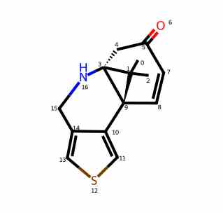 CC1(C)[C@@]23CC(=O)C=C[C@@]12c1cscc1CN3